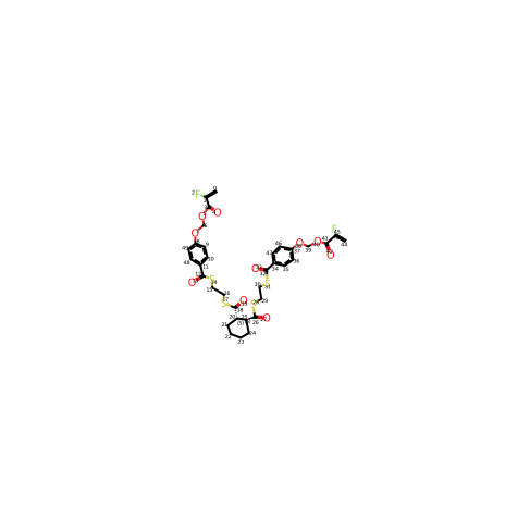 C=C(F)C(=O)OCOc1ccc(C(=O)SCCSC(=O)[C@H]2CCCC[C@@H]2C(=O)SCCSC(=O)c2ccc(OCOC(=O)C(=C)F)cc2)cc1